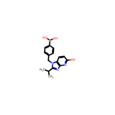 CC(C)c1nc2nc(O)ccc2n1Cc1ccc(B(O)O)cc1